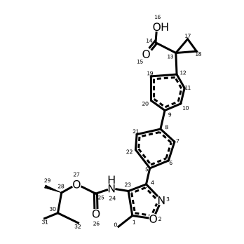 Cc1onc(-c2ccc(-c3ccc(C4(C(=O)O)CC4)cc3)cc2)c1NC(=O)O[C@H](C)C(C)C